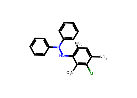 O=[N+]([O-])c1cc([N+](=O)[O-])c(NN(c2ccccc2)c2ccccc2)c([N+](=O)[O-])c1Cl